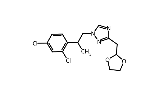 CC(Cn1cnc(CC2OCCO2)n1)c1ccc(Cl)cc1Cl